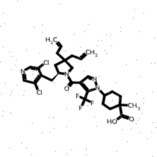 C=CCC1(CC=C)C[C@H](Cc2c(Cl)cncc2Cl)N(C(=O)c2cnn(C3CCC(C)(C(=O)O)CC3)c2C(F)(F)F)C1